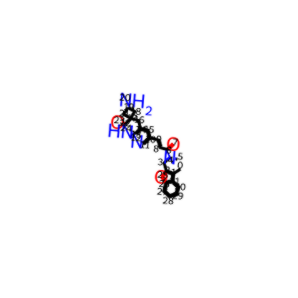 Cc1c(CN(C)C(=O)/C=C/c2cnc3c(c2)CC2(CC(N)C2)C(=O)N3)oc2ccccc12